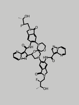 C[C@H](O)[C@H](F)CN1Cc2cc(NC(=O)c3c(C4CN(c5cc6c(cc5NC(=O)c5cnn7cccnc57)CN(C[C@H](F)[C@@H](C)O)C6=O)CCO4)nn4cccnc34)c(N3CCOCC3)cc2C1=O